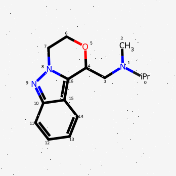 CC(C)N(C)CC1OCCn2nc3ccccc3c21